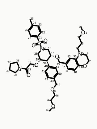 COCCCN1CCOc2ccc(CO[C@H]3CN(S(=O)(=O)c4ccc(C)cc4)C[C@@H](OCC(=O)N4CCCC4)[C@@H]3c3ccc(COCCOC)cc3)cc21